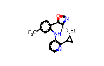 CCOC(=O)c1ncoc1-c1ccc(C(F)(F)F)cc1Nc1cccnc1C1CC1